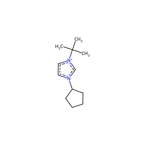 CC(C)(C)[n+]1ccn(C2CCCC2)c1